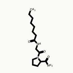 CCCCCCCC(=O)NCC(=O)N1CCCC1C(N)=O